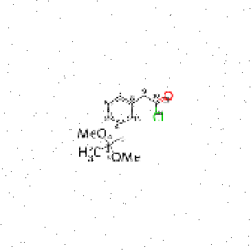 COC(C)(Cc1cccc(CC(=O)Cl)c1)OC